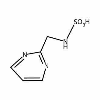 O=S(=O)(O)NCc1ncccn1